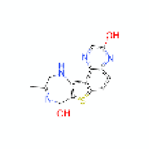 CC1=NC(O)c2sc3ccc4nc(O)cnc4c3c2NC1